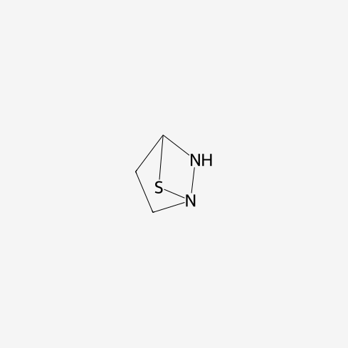 C1CN2NC1S2